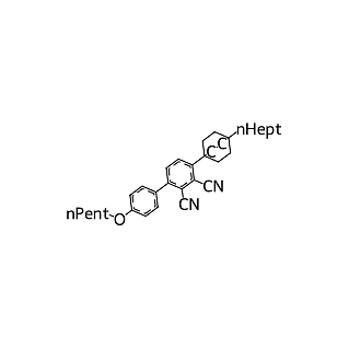 CCCCCCCC12CCC(c3ccc(-c4ccc(OCCCCC)cc4)c(C#N)c3C#N)(CC1)CC2